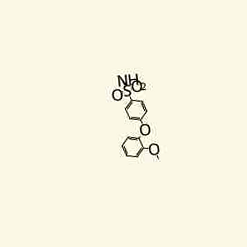 COc1ccccc1Oc1ccc(S(N)(=O)=O)cc1